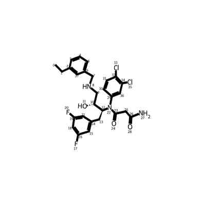 CCc1cccc(CNC[C@@H](O)[C@H](Cc2cc(F)cc(F)c2)N(C(=O)CC(N)=O)c2ccc(Cl)c(Cl)c2)c1